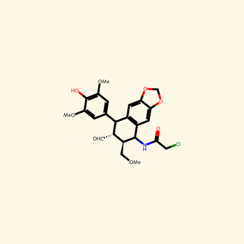 COC[C@@H]1C(NC(=O)CCl)c2cc3c(cc2C(c2cc(OC)c(O)c(OC)c2)[C@H]1C=O)OCO3